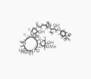 CC[C@H]1OC(=O)[C@H](C)[C@@H](C2C[C@@](C)(OC)[C@@H](O)[C@H](C)O2)[C@H](C)[C@@H](O[C@@H]2O[C@H](C)C[C@H](N(C)CCc3cn([C@H](CF)[C@H](O)COc4ccc(S(C)(=O)=O)cc4)nn3)[C@H]2O)[C@](C)(O)C[C@@H](C)CN(C)[C@H](C)[C@@H](O)[C@]1(C)O